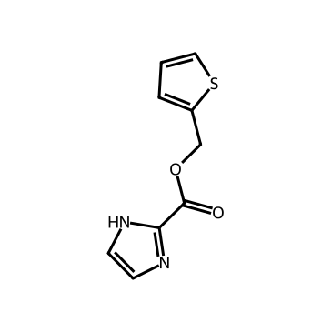 O=C(OCc1cccs1)c1ncc[nH]1